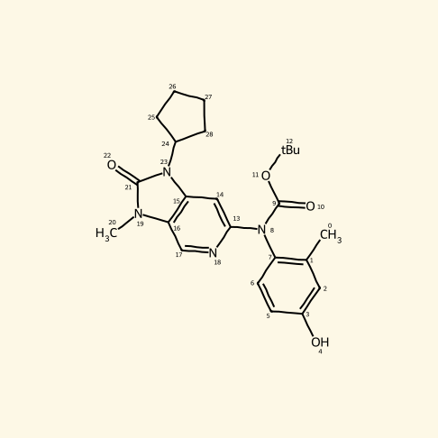 Cc1cc(O)ccc1N(C(=O)OC(C)(C)C)c1cc2c(cn1)n(C)c(=O)n2C1CCCC1